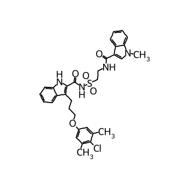 Cc1cc(OCCCc2c(C(=O)NS(=O)(=O)CCNC(=O)c3cn(C)c4ccccc34)[nH]c3ccccc23)cc(C)c1Cl